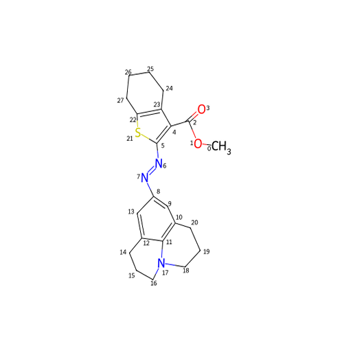 COC(=O)c1c(N=Nc2cc3c4c(c2)CCCN4CCC3)sc2c1CCCC2